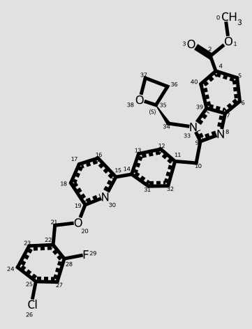 COC(=O)c1ccc2nc(Cc3ccc(-c4cccc(OCc5ccc(Cl)cc5F)n4)cc3)n(C[C@@H]3CCO3)c2c1